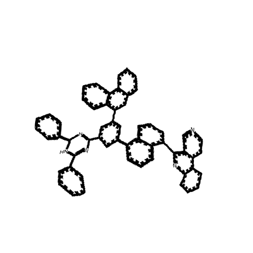 c1ccc(C2=NC(c3cc(-c4cccc5c(-c6nc7ccccc7c7ccncc67)cccc45)cc(-c4cc5ccccc5c5ccccc45)c3)=NC(c3ccccc3)N2)cc1